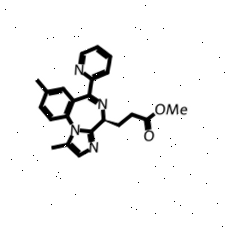 COC(=O)CC[C@@H]1N=C(c2ccccn2)c2cc(C)ccc2-n2c(C)cnc21